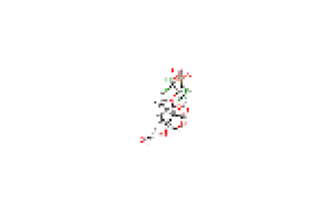 CC1(C(=O)OC(CS(=O)(=O)O)(C(F)(F)F)C(F)(F)F)C2CC3C(OC(=O)C31)C2OCC1CO1